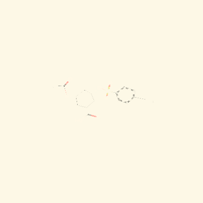 CC(=O)O[C@@H]1C[C@H](OS(=O)(=O)c2ccc(C)cc2)C[C@H](C(=O)O)C1